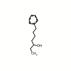 CCC(O)CCCCc1ccccc1